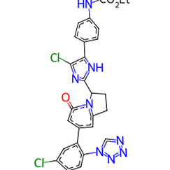 CCOC(=O)Nc1ccc(-c2[nH]c(C3CCc4cc(-c5cc(Cl)ccc5-n5cnnn5)cc(=O)n43)nc2Cl)cc1